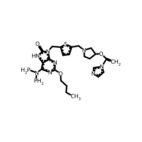 C=C(OC1CCN(Cc2ccc(Cn3c(=O)[nH]c4c(N(P)P)nc(OCCCC)nc43)s2)C1)n1ccnc1